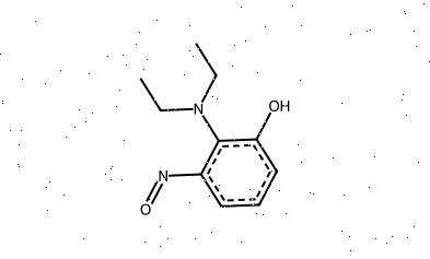 CCN(CC)c1c(O)cccc1N=O